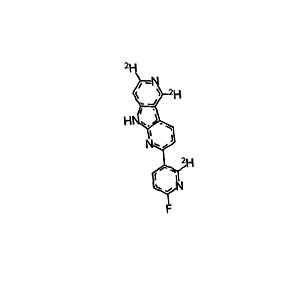 [2H]c1cc2[nH]c3nc(-c4ccc(F)nc4[2H])ccc3c2c([2H])n1